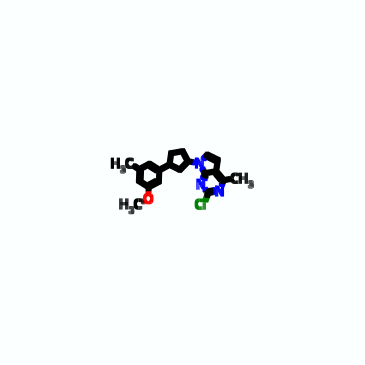 COc1cc(C)cc(C2CCC(n3ccc4c(C)nc(Cl)nc43)C2)c1